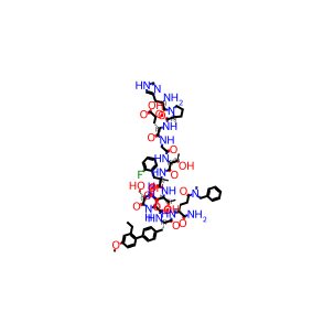 CCc1cc(OC)ccc1-c1ccc(C[C@H](NC(=O)[C@H](CC(=O)O)NC(=O)[C@H](CO)NC(=O)[C@@H](NC(=O)[C@](C)(Cc2ccccc2F)NC(=O)[C@@H](NC(=O)CNC(=O)[C@H](CCC(=O)O)NC(=O)[C@]2(C)CCCN2C(=O)[C@@H](N)Cc2c[nH]cn2)[C@@H](C)O)[C@@H](C)O)C(=O)N[C@@H](CCC(=O)N(C)Cc2ccccc2)C(N)=O)cc1